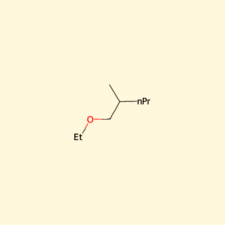 CCCC(C)COCC